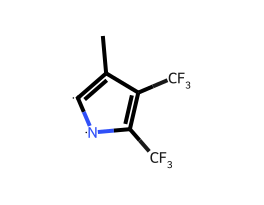 CC1=[C][N]C(C(F)(F)F)=C1C(F)(F)F